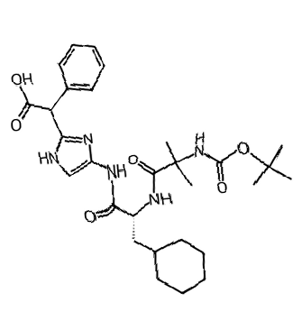 CC(C)(C)OC(=O)NC(C)(C)C(=O)N[C@H](CC1CCCCC1)C(=O)Nc1c[nH]c(C(C(=O)O)c2ccccc2)n1